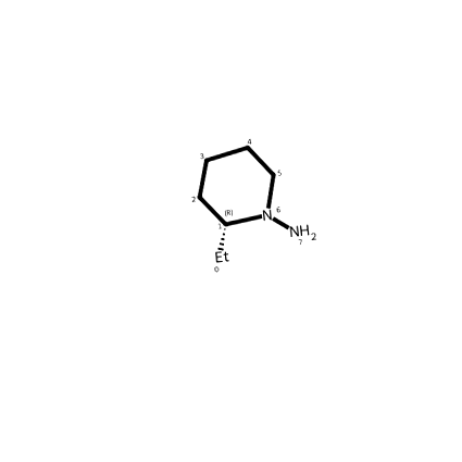 CC[C@@H]1CCCCN1N